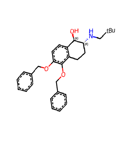 CC(C)(C)CN[C@@H]1CCc2c(ccc(OCc3ccccc3)c2OCc2ccccc2)[C@H]1O